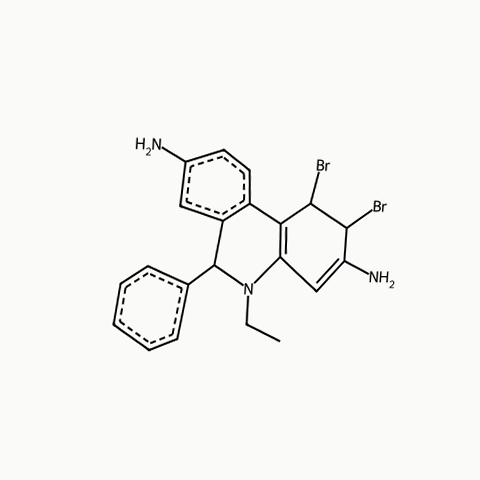 CCN1C2=C(c3ccc(N)cc3C1c1ccccc1)C(Br)C(Br)C(N)=C2